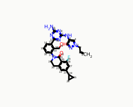 C=CCn1cc(Nc2nc(N)nc(-c3cccc(N4CCc5cc(C6CC6)cc(F)c5C4=O)c3CO)n2)cn1